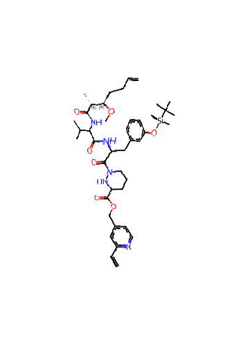 C=CCC[C@@H](OC)[C@@H](C)C(=O)NC(C(=O)NC(Cc1cccc(O[Si](C)(C)C(C)(C)C)c1)C(=O)N1CCCC(C(=O)OCc2ccnc(C=C)c2)N1)C(C)C